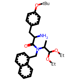 CCOC(OCC)C(C)N(Cc1cccc2ccccc12)C(=O)C(N)Cc1ccc(OC(C)(C)C)cc1